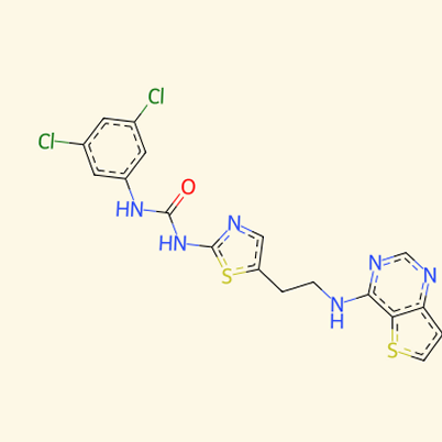 O=C(Nc1cc(Cl)cc(Cl)c1)Nc1ncc(CCNc2ncnc3ccsc23)s1